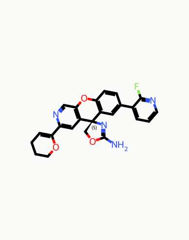 NC1=N[C@@]2(CO1)c1cc(-c3cccnc3F)ccc1Oc1cnc(C3=CCCCO3)cc12